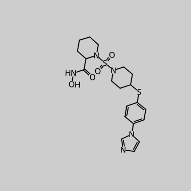 O=C(NO)C1CCCCN1S(=O)(=O)N1CCC(Sc2ccc(-n3ccnc3)cc2)CC1